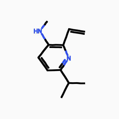 C=Cc1nc(C(C)C)ccc1NC